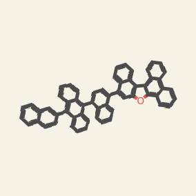 c1ccc2cc(-c3c4ccccc4c(-c4ccc(-c5cc6oc7c8ccccc8c8ccccc8c7c6c6ccccc56)c5ccccc45)c4ccccc34)ccc2c1